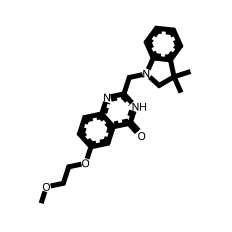 COCCOc1ccc2nc(CN3CC(C)(C)c4ccccc43)[nH]c(=O)c2c1